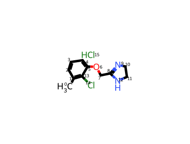 Cc1cccc(OCC2=NCCN2)c1Cl.Cl